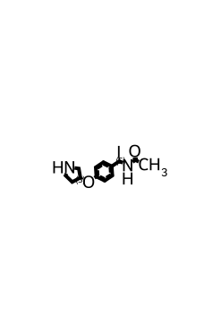 CC(=O)N[C@@H](I)c1ccc(O[C@H]2CCNC2)cc1